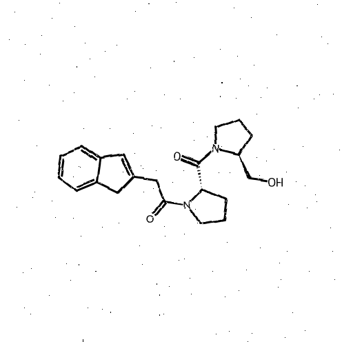 O=C([C@@H]1CCCN1C(=O)CC1=Cc2ccccc2C1)N1CCC[C@H]1CO